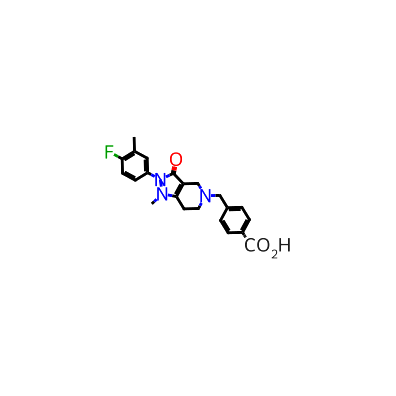 Cc1cc(-n2c(=O)c3c(n2C)CCN(Cc2ccc(C(=O)O)cc2)C3)ccc1F